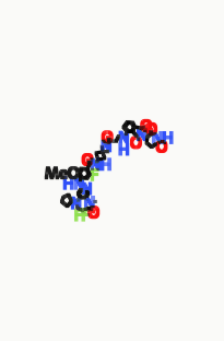 COc1cc(C(=O)NC2CC3(C2)CN(C(=O)CCNc2cccc4c2C(=O)N(C2CCC(=O)NC2=O)C4=O)C3)c(F)cc1Nc1cc2c(cn1)N(C)C(=O)C(F)(F)CN2C1CCCC1